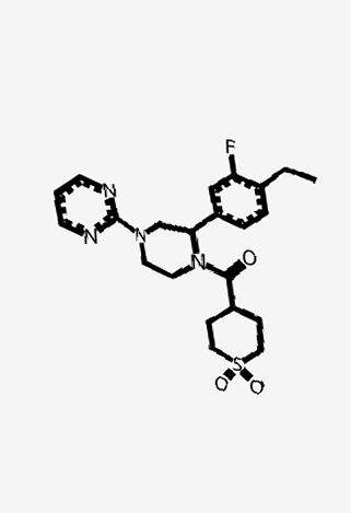 CCc1ccc(C2CN(c3ncccn3)CCN2C(=O)C2CCS(=O)(=O)CC2)cc1F